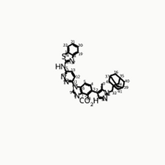 Cc1c(-c2ccc3c(ncn3-c3ccc(Nc4nc5ccccc5s4)nn3)c2C(=O)O)cnn1CC12CC3CC(CC(C3)C1)C2